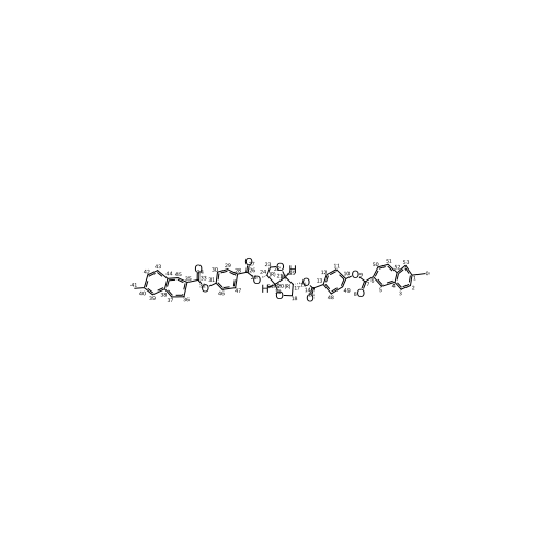 Cc1ccc2cc(C(=O)Oc3ccc(C(=O)O[C@@H]4CO[C@H]5[C@@H]4OC[C@H]5OC(=O)c4ccc(OC(=O)c5ccc6cc(C)ccc6c5)cc4)cc3)ccc2c1